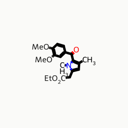 CCOC(=O)Cc1cc(C)c(C(=O)c2ccc(OC)c(OC)c2)n1C